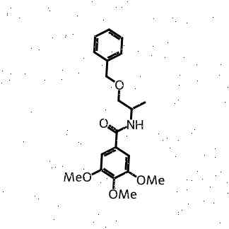 COc1cc(C(=O)NC(C)COCc2ccccc2)cc(OC)c1OC